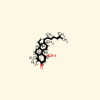 CC(C)=CCC[C@@H](C)[C@H]1CC[C@H]2[C@@H]3CC=C4C(C)(C)C(=O)C[C@H](O)[C@]4(C)[C@H]3CC[C@]12C